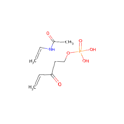 C=CC(=O)CCOP(=O)(O)O.C=CNC(C)=O